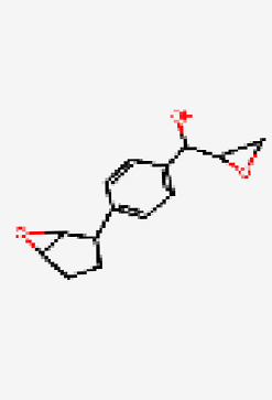 OC(c1ccc(C2CCC3OC32)cc1)C1CO1